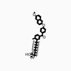 COc1ccc2cc(Oc3ccc(C(=O)c4ccc(C)c(C(F)(F)C(F)(F)C(F)(F)C(F)(F)C(F)(F)C(F)(F)S(=O)(=O)O)c4)cc3)ccc2c1